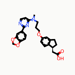 CN(CCCOc1ccc2c(c1)CC[C@H]2CC(=O)O)c1ccnc(-c2ccc3c(c2)OCO3)n1